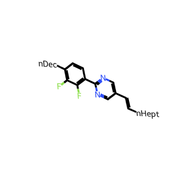 CCCCCCCC=Cc1cnc(-c2ccc(CCCCCCCCCC)c(F)c2F)nc1